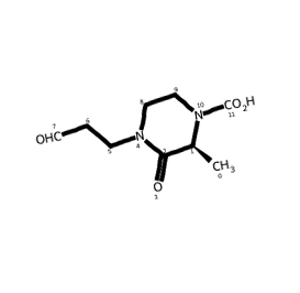 C[C@H]1C(=O)N(CCC=O)CCN1C(=O)O